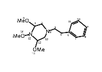 COC1CN(CCc2ccccc2)CC(OC)N1OC